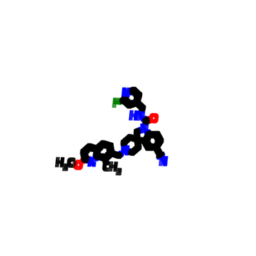 COc1ccc2ccc(CN3CCC4(CC3)CN(C(=O)NCc3ccnc(F)c3)c3ccc(C#N)cc34)c(C)c2n1